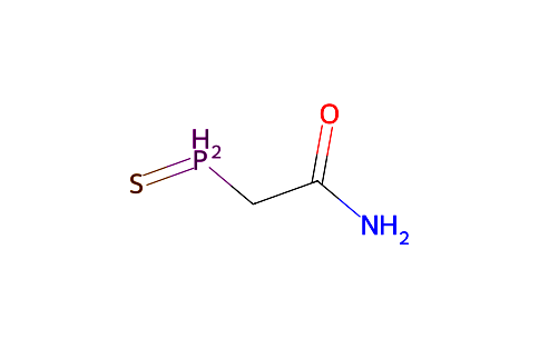 NC(=O)C[PH2]=S